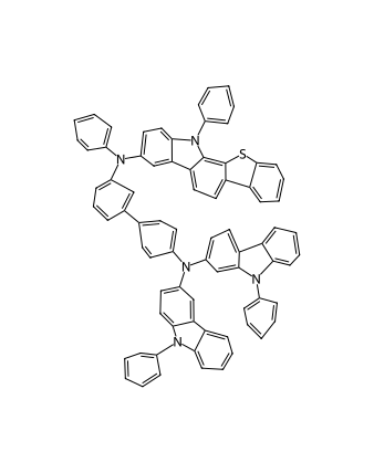 c1ccc(N(c2cccc(-c3ccc(N(c4ccc5c(c4)c4ccccc4n5-c4ccccc4)c4ccc5c6ccccc6n(-c6ccccc6)c5c4)cc3)c2)c2ccc3c(c2)c2ccc4c5ccccc5sc4c2n3-c2ccccc2)cc1